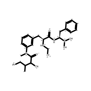 CC(C)CC(C)C(C#N)C(=O)N(C)c1cccc(C[C@H](NCC(F)(F)F)C(=O)N[C@@H](Cc2ccccc2)B(O)O)c1